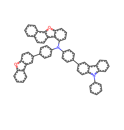 c1ccc(-n2c3ccccc3c3cc(-c4ccc(N(c5ccc(-c6ccc7oc8ccccc8c7c6)cc5)c5cccc6oc7c8ccccc8ccc7c56)cc4)ccc32)cc1